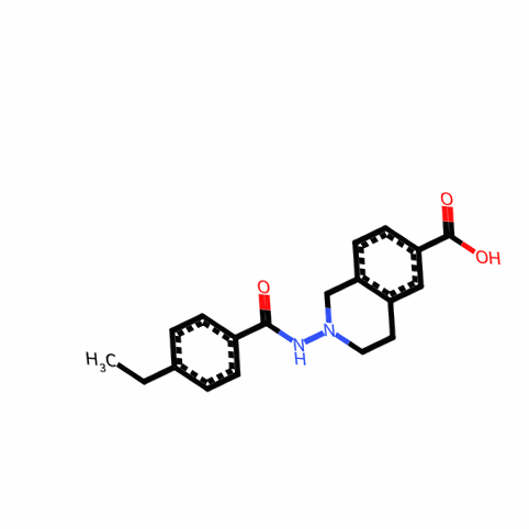 CCc1ccc(C(=O)NN2CCc3cc(C(=O)O)ccc3C2)cc1